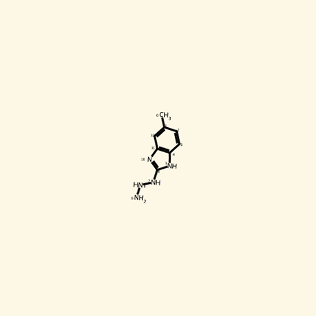 Cc1ccc2[nH]c(NNN)nc2c1